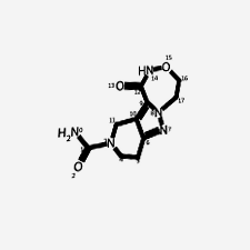 NC(=O)N1CCc2nn3c(c2C1)C(=O)NOCC3